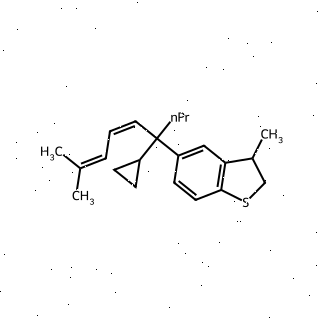 CCCC(/C=C\C=C(C)C)(c1ccc2c(c1)C(C)CS2)C1CC1